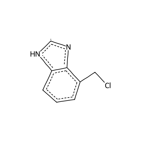 ClCc1cccc2[nH][c]nc12